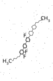 CCCCCCc1ccc(-c2ccc(-c3ccc(C4CCC(C5CCC(CCCCC)CC5)CC4)c(F)c3)cc2)c(F)c1F